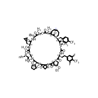 CCCN(C)C(=O)[C@@H]1CC(=O)N(C)[C@@H](CC2CC2)C(=O)N[C@@H]([C@@H](C)CC)C(=O)N(C)CC(=O)N(C)[C@H]2C/C=C\CCN(C2=O)[C@@H](Cc2ccc(C(F)(F)F)cc2)C(=O)N(C)CC(=O)N[C@@H](CCc2cc(F)c(C(F)(F)F)c(F)c2)C(=O)N2C[C@H](OCC)C[C@H]2C(=O)NC2(CCC2)C(=O)N(C)[C@@H](C2CCCC2)C(=O)N1C